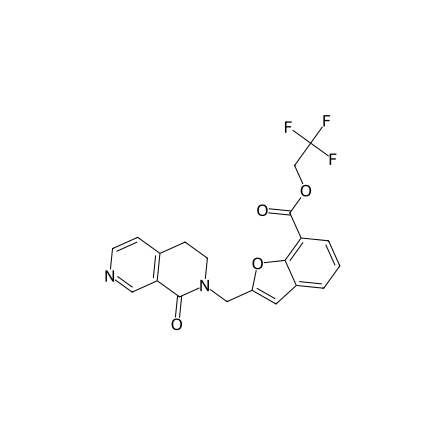 O=C(OCC(F)(F)F)c1cccc2cc(CN3CCc4ccncc4C3=O)oc12